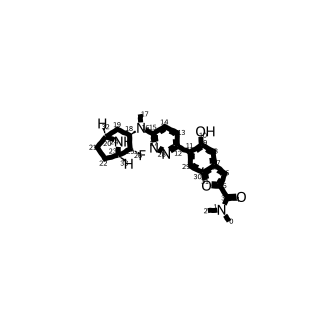 CN(C)C(=O)c1cc2cc(O)c(-c3ccc(N(C)[C@H]4C[C@@H]5CC[C@@H](N5)[C@H]4F)nn3)cc2o1